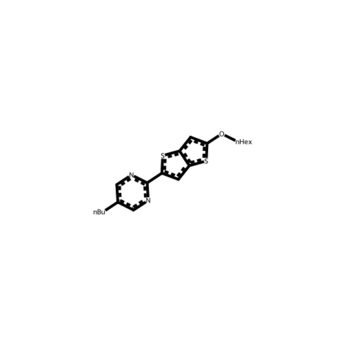 CCCCCCOc1cc2sc(-c3ncc(CCCC)cn3)cc2s1